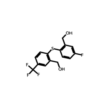 OCc1cc(F)ccc1Sc1ccc(C(F)(F)F)cc1CO